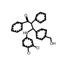 O=C(c1ccccc1)C(c1ccccc1)C(Nc1ccc(Cl)c(Cl)c1)c1ccc(CO)cc1